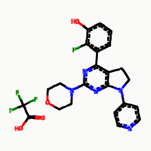 O=C(O)C(F)(F)F.Oc1cccc(-c2nc(N3CCOCC3)nc3c2CCN3c2ccncc2)c1F